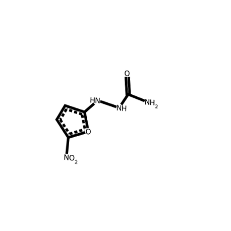 NC(=O)NNc1ccc([N+](=O)[O-])o1